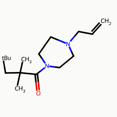 C=CCN1CCN(C(=O)C(C)(C)CC(C)(C)C)CC1